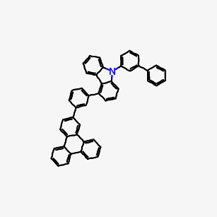 C1=C=C(c2cccc(-n3c4ccccc4c4c(-c5cccc(-c6ccc7c8ccccc8c8ccccc8c7c6)c5)cccc43)c2)C=CC=1